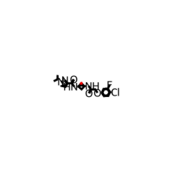 CC(C)n1ccc(C(=O)NC23CC(NC(=O)COc4ccc(Cl)c(F)c4)(C2)C3)n1